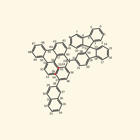 c1ccc2c(c1)-c1ccccc1C21c2ccccc2-c2ccc(N(c3ccc(-c4ccc5ccccc5c4)cc3)c3cccc4c5ccccc5c5ccccc5c34)cc21